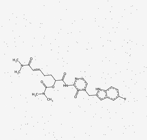 CN(C)C(=O)/C=C/CCC(OC(=O)N(C)C)C(=O)Nc1nccn(Cc2cc3cc(F)ccc3[nH]2)c1=O